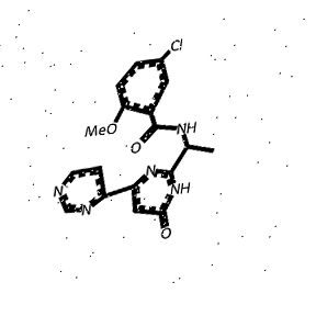 COc1ccc(Cl)cc1C(=O)NC(C)c1nc(-c2ccncn2)cc(=O)[nH]1